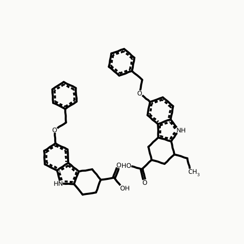 CCC1CC(C(=O)O)Cc2c1[nH]c1ccc(OCc3ccccc3)cc21.O=C(O)C1CCc2[nH]c3ccc(OCc4ccccc4)cc3c2C1